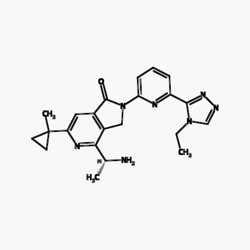 CCn1cnnc1-c1cccc(N2Cc3c(cc(C4(C)CC4)nc3[C@@H](C)N)C2=O)n1